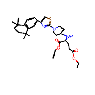 CCOC(=O)CCC(NC1CCN(c2nc(-c3ccc4c(c3)C(C)(C)CCC4(C)C)cs2)CC1)C(=O)OCC